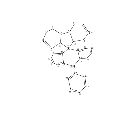 C1=NCCC2C3CC=NCC3S3(c4ccccc4N(c4ccccc4)c4ccccc43)C12